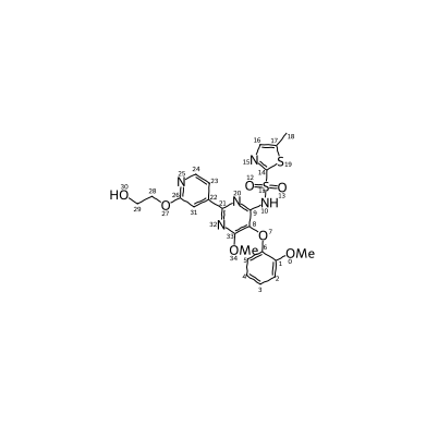 COc1ccccc1Oc1c(NS(=O)(=O)c2ncc(C)s2)nc(-c2ccnc(OCCO)c2)nc1OC